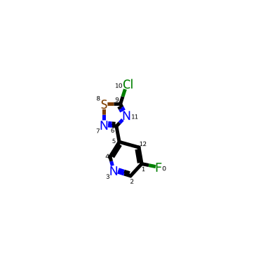 Fc1cncc(-c2nsc(Cl)n2)c1